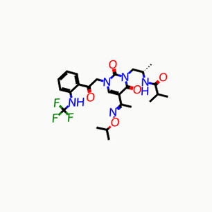 C/C(=N\OC(C)C)c1cn(CC(=O)c2ccccc2NC(F)(F)F)c(=O)n(C[C@H](C)NC(=O)C(C)C)c1=O